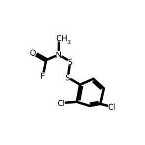 CN(SSc1ccc(Cl)cc1Cl)C(=O)F